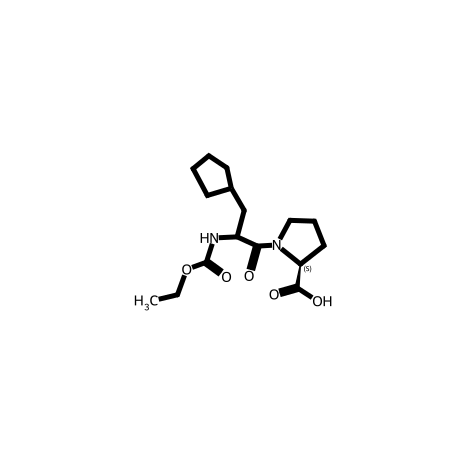 CCOC(=O)NC(CC1CCCC1)C(=O)N1CCC[C@H]1C(=O)O